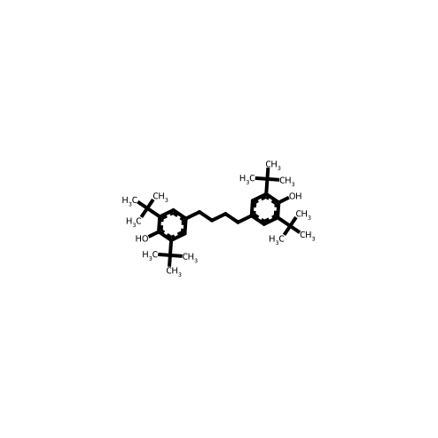 CC(C)(C)c1cc(CCCCc2cc(C(C)(C)C)c(O)c(C(C)(C)C)c2)cc(C(C)(C)C)c1O